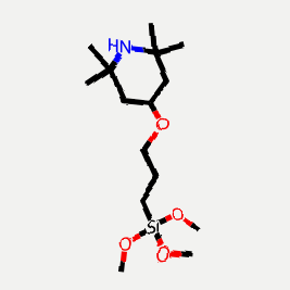 CO[Si](CCCOC1CC(C)(C)NC(C)(C)C1)(OC)OC